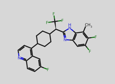 Cc1c(F)c(F)cc2nc([C@@H](C3CCC(c4ccnc5ccc(F)cc45)CC3)C(F)(F)F)[nH]c12